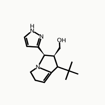 CC(C)(C)C1C2=CCCN2[C@@H](c2cc[nH]n2)[C@H]1CO